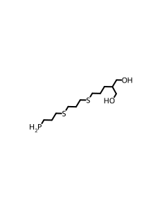 OCC(CO)CCCSCCCSCCCP